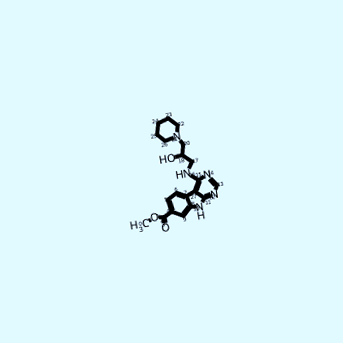 COC(=O)c1ccc2c(c1)[nH]c1ncnc(NCC(O)CN3CCCCC3)c12